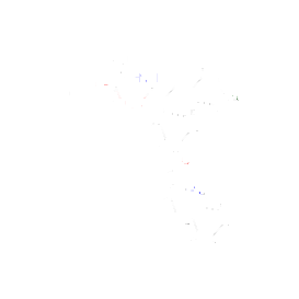 CCOC(=O)C(C)NC(=O)/C(=C/c1ccc(Cl)cc1)c1ccc(OCc2ccc3ccccc3n2)cc1